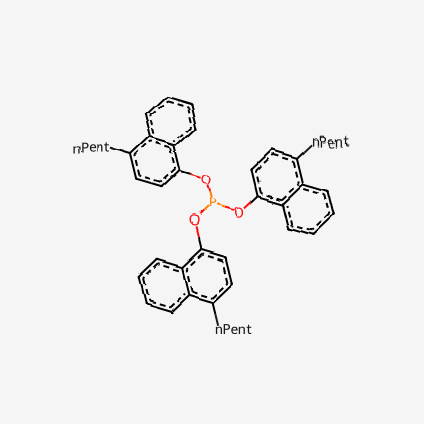 CCCCCc1ccc(OP(Oc2ccc(CCCCC)c3ccccc23)Oc2ccc(CCCCC)c3ccccc23)c2ccccc12